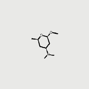 CO[C@H]1C[C@@H](N(C)C)C[C@@H](C)O1